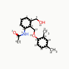 CCC(=O)Nc1cccc(CO)c1COc1ccc(C)cc1C(F)(F)F